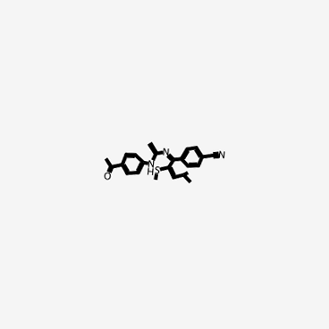 C=C(/N=C(\C(=C/C(C)C)SC)c1ccc(C#N)cc1)Nc1ccc(C(C)=O)cc1